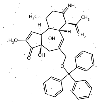 C=C(C)[C@@H]1C(=N)C[C@@H](C)[C@@]2(O)[C@H]1C=C(COC(c1ccccc1)(c1ccccc1)c1ccccc1)C[C@]1(O)C(=O)C(C)=C[C@@H]21